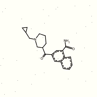 NC(=O)c1cc(C(=O)C2CCCN(CC3CC3)C2)cc2ccccc12